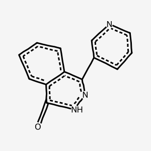 O=c1[nH]nc(-c2cccnc2)c2ccccc12